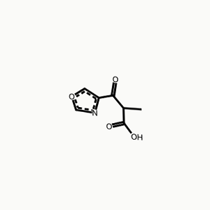 CC(C(=O)O)C(=O)c1cocn1